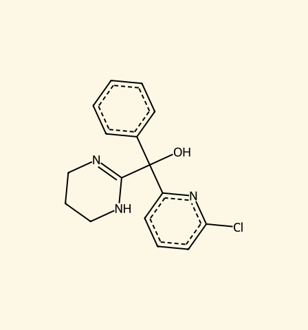 OC(C1=NCCCN1)(c1ccccc1)c1cccc(Cl)n1